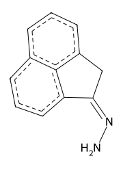 NN=C1Cc2cccc3cccc1c23